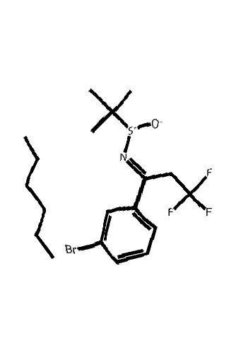 CC(C)(C)[S+]([O-])N=C(CC(F)(F)F)c1cccc(Br)c1.CCCCCC